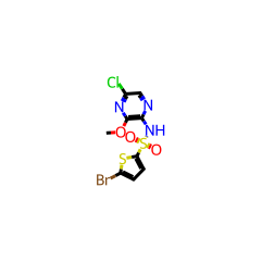 COc1nc(Cl)cnc1NS(=O)(=O)c1ccc(Br)s1